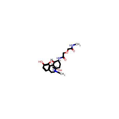 CNC(=O)COCC(=O)N[C@H]1CC[C@@]2(O)C3Cc4ccc(O)c5c4[C@@]2(CCN3C)[C@H]1O5